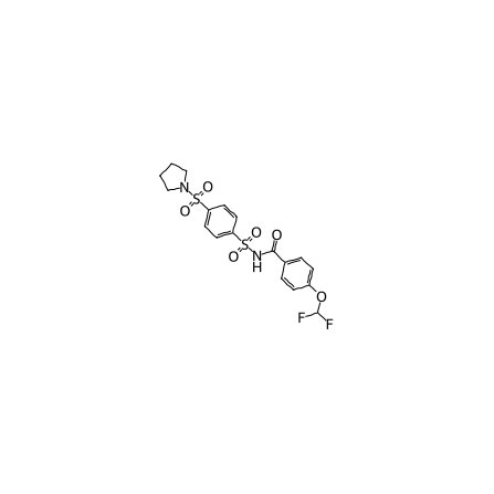 O=C(NS(=O)(=O)c1ccc(S(=O)(=O)N2CCCC2)cc1)c1ccc(OC(F)F)cc1